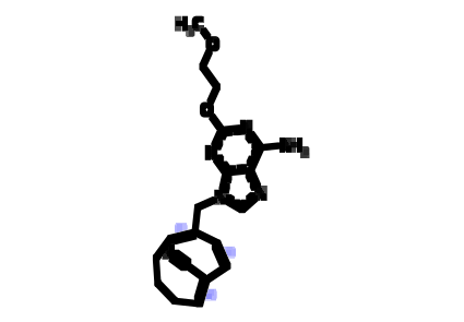 COCCOc1nc(N)c2ncn(CC3=C/CCC/C=C(C#N)/C=C\3)c2n1